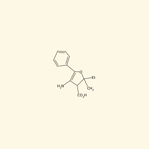 CCC1(C)OC(c2ccccc2)=C(N)C1C(=O)O